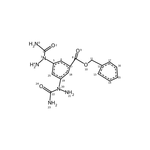 NC(=O)N(N)c1cc(C(=O)OCc2ccccc2)cc(N(N)C(N)=O)c1